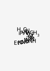 CCN1CCN(c2ccc(Nc3ncc(F)c(-c4sc5c(nc(C)n5C(C)C)c4C)n3)nn2)CC1